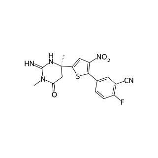 CN1C(=N)N[C@@](C)(c2cc([N+](=O)[O-])c(-c3ccc(F)c(C#N)c3)s2)CC1=O